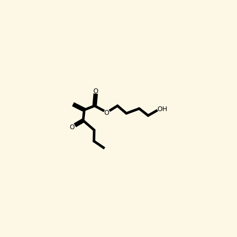 C=C(C(=O)CCC)C(=O)OCCCCO